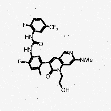 CNc1cc2c(cn1)cc(-c1cc(NC(=O)Nc3cc(C(F)(F)F)ccc3F)c(F)cc1C)c(=O)n2CCO